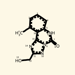 Cc1cccc2[nH]c(=O)n3nc(CO)nc3c12